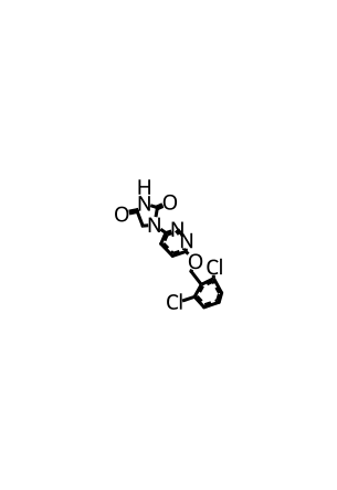 O=C1CN(c2ccc(OCc3c(Cl)cccc3Cl)nn2)C(=O)N1